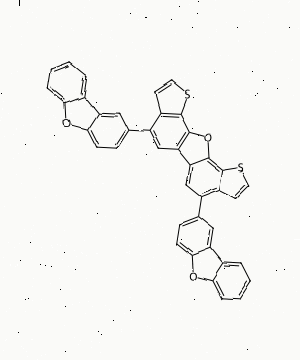 c1ccc2c(c1)oc1ccc(-c3cc4c5cc(-c6ccc7oc8ccccc8c7c6)c6ccsc6c5oc4c4sccc34)cc12